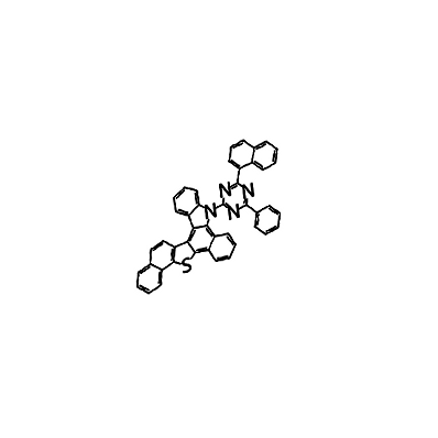 c1ccc(-c2nc(-c3cccc4ccccc34)nc(-n3c4ccccc4c4c5c6ccc7ccccc7c6sc5c5ccccc5c43)n2)cc1